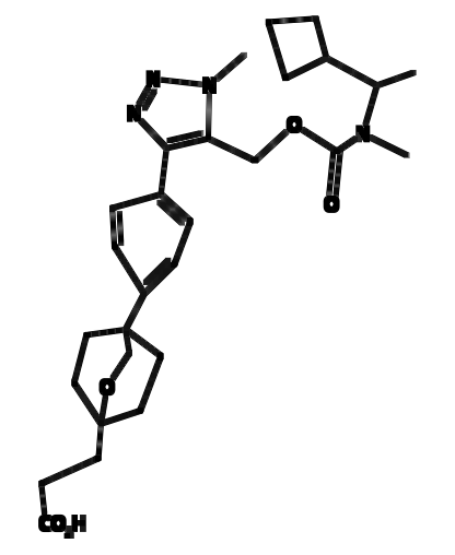 CC(C1CCC1)N(C)C(=O)OCc1c(-c2ccc(C34CCC(CCC(=O)O)(CC3)OC4)cc2)nnn1C